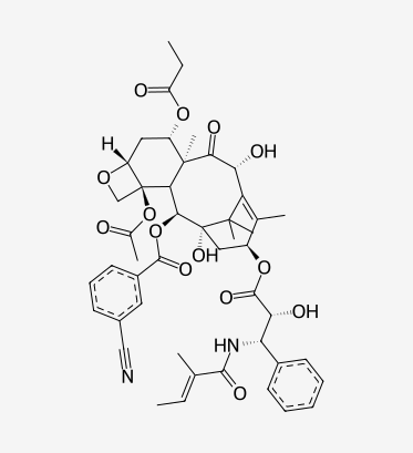 C/C=C(\C)C(=O)N[C@@H](c1ccccc1)[C@@H](O)C(=O)O[C@H]1C[C@@]2(O)[C@@H](OC(=O)c3cccc(C#N)c3)C3[C@](C)(C(=O)[C@H](O)C(=C1C)C2(C)C)[C@@H](OC(=O)CC)C[C@H]1OC[C@@]31OC(C)=O